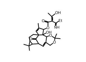 CCC(=N)/C(C(=O)OC1C(C)=CC23CCC4C(C(C=C5COC(C)(C)OC5C12O)C3=O)C4(C)C)=C(/C)O